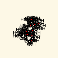 O=C1OC[C@@H]2OC(=O)c3cc(O)c(O)c(O)c3-c3c(O)c(O)c(O)c4c3C(=O)O[C@@H](C3OC(=O)c5c-4c(O)c(O)c(O)c5[C@H]3c3c(O)c(O)c(O)c4c3C(=O)OC[C@@H]3OC(=O)c5cc(O)c(O)c(O)c5-c5c(O)c(O)c(O)c6c5C(=O)O[C@H]([C@H]3OC(=O)c3cc(O)c(O)c(O)c3-4)[C@H]3OC(=O)c4c-6c(O)c(O)c(O)c4[C@@H]3C3(O)OC[C@H](O)[C@@H](O)[C@@H]3O)[C@H]2OC(=O)c2cc(O)c(O)c(O)c2-c2c1cc(O)c(O)c2O